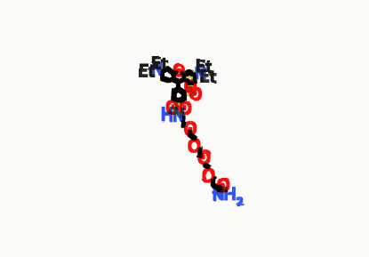 CCN(CC)c1ccc2c(c1)OC1=CC(N(CC)CC)C=CC1=C2c1ccc(S(=O)(=O)NCCOCCOCCOCCOCCC(N)=O)cc1[SH](=O)=O